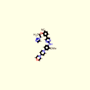 COc1cc(N2CCC(N3CCOCC3)CC2)ccc1Nc1ncc(-c2ccc(C#N)c(O[C@@H](C)Cn3ccnn3)c2)cn1